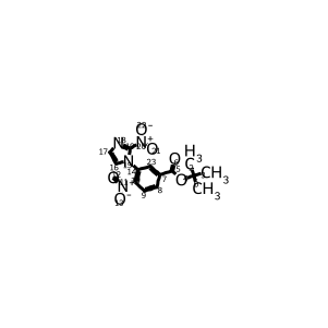 CC(C)(C)OC(=O)c1ccc([N+](=O)[O-])c(-n2ccnc2[N+](=O)[O-])c1